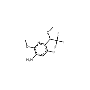 COc1nc(C(OC)C(F)(F)F)c(F)cc1N